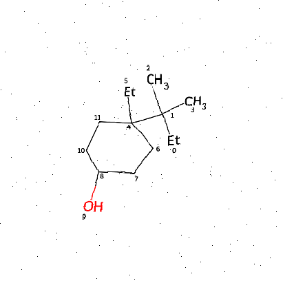 CCC(C)(C)C1(CC)CCC(O)CC1